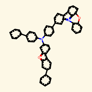 c1ccc(-c2ccc(N(c3ccc(-c4ccc5c6cccc7c6n(c5c4)-c4ccccc4O7)cc3)c3ccc4c(c3)oc3cc(-c5ccccc5)ccc34)cc2)cc1